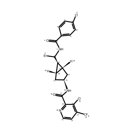 CCC(NC(=O)c1ccc(Cl)cc1)[C@H]1[C@@H]2C[C@@H](NC(=O)c3nccc(C(F)(F)F)c3Cl)C[C@@H]21